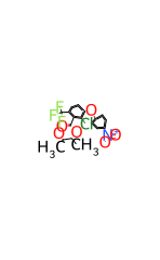 CC(=O)C(C)OC(=O)c1c(C(F)(F)F)ccc(Oc2ccc([N+](=O)[O-])cc2)c1Cl